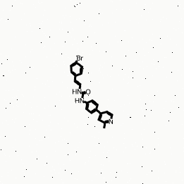 Cc1cc(-c2ccc(NC(=O)NC=Cc3ccc(Br)cc3)cc2)ccn1